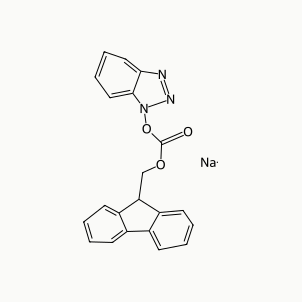 O=C(OCC1c2ccccc2-c2ccccc21)On1nnc2ccccc21.[Na]